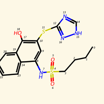 CCCCS(=O)(=O)Nc1cc(Sc2nc[nH]n2)c(O)c2ccccc12